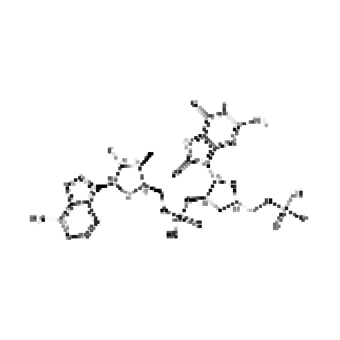 C[C@@H]1[C@@H](F)[C@H](n2cnc3c(N)ncnc32)O[C@@H]1CO[P@@](=O)(S)O[C@@H]1C[C@@H](COP(=O)(O)S)O[C@H]1n1c(=O)sc2c(=O)[nH]c(N)nc21